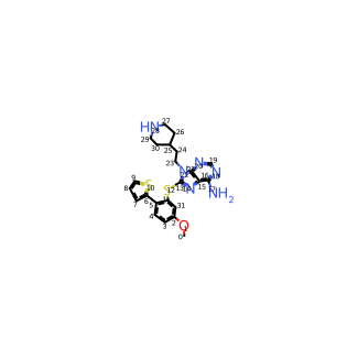 COc1ccc(-c2cccs2)c(Sc2nc3c(N)ncnc3n2CCC2CCNCC2)c1